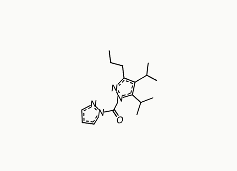 CCCc1nn(C(=O)n2cccn2)c(C(C)C)c1C(C)C